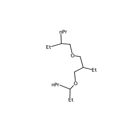 CCCC(CC)COCC(CC)COC(CC)CCC